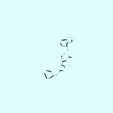 Cn1c2nc(Cc3ccc(Cl)cc3)sc2c2cnn(Cc3cccc4[nH]ncc34)c(=O)c21